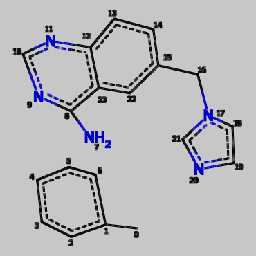 Cc1ccccc1.Nc1ncnc2ccc(Cn3ccnc3)cc12